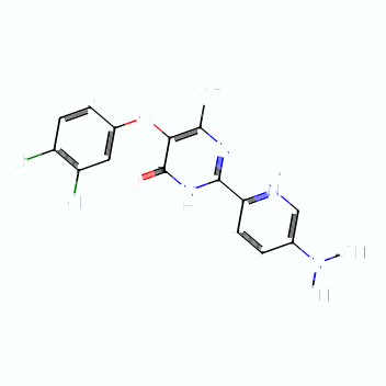 CN(C)c1ccc(-c2nc(C(F)(F)F)c(Oc3ccc(Cl)c(Cl)c3)c(=O)[nH]2)nc1